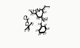 CC(C)(C)OC=O.CCC1CC(NCc2ccccc2)CC(CC)N1